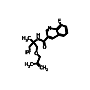 C=C(C)COCC(C)(CC(C)C)NC(=O)c1cnc2c(F)cccc2c1